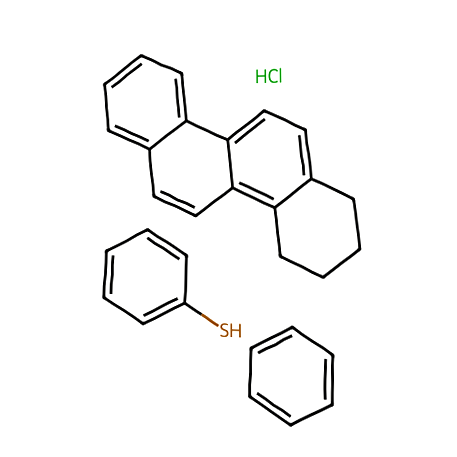 Cl.Sc1ccccc1.c1ccc2c(c1)ccc1c3c(ccc12)CCCC3.c1ccccc1